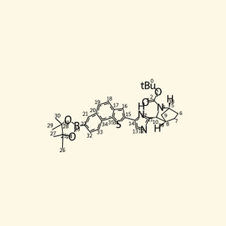 CC(C)(C)OC(=O)N1[C@@H]2CC[C@@H](C2)[C@H]1c1ncc(-c2cc3ccc4cc(B5OC(C)(C)C(C)(C)O5)ccc4c3s2)[nH]1